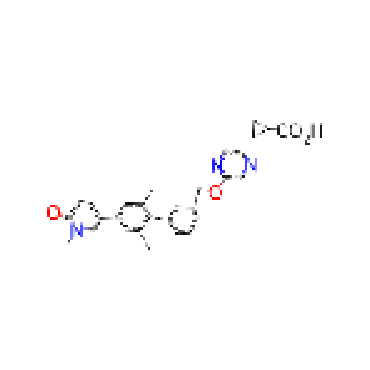 Cc1cc(-c2ccc(=O)n(C)c2)cc(C)c1-c1cccc(COc2cnc([C@@H]3C[C@H]3C(=O)O)cn2)c1